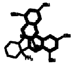 CC(C)(C)c1cc(C(C)(C)C)c2cc(C3CCCCC3(P)c3cc4c(C(C)(C)C)cc(C(C)(C)C)cc4cc3C(C)(C)C)c(C(C)(C)C)cc2c1